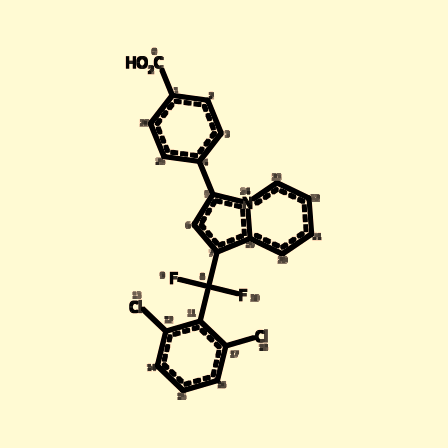 O=C(O)c1ccc(-c2cc(C(F)(F)c3c(Cl)cccc3Cl)c3ccccn23)cc1